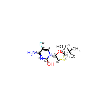 CCC(C)(C(=O)O)[C@H]1O[C@@H](N2C=C(F)C(N)=NC2O)CS1